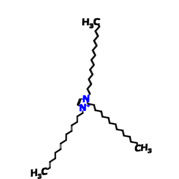 CCCCCCCCCCCCCCCCn1cc[n+](CCCCCCCCCCCCCC)c1CCCCCCCCCCCCCC